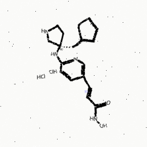 Cl.Cl.O=C(/C=C/c1ccc(N[C@]2(CC3CCCC3)CCNC2)nc1)NO